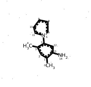 Cc1cc(C)c(-[n+]2ccccc2)cc1N